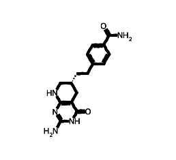 NC(=O)c1ccc(CC[C@H]2CNc3nc(N)[nH]c(=O)c3C2)cc1